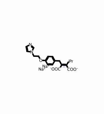 CC(C)/C(C(=O)[O-])=C(\Cc1ccc(OCCn2ccnc2)cc1)C(=O)[O-].[Na+].[Na+]